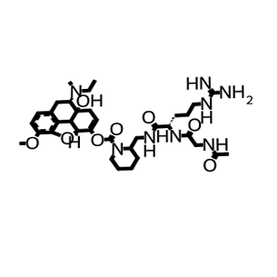 CCN(C)[C@@H]1Cc2ccc(OC)c3c2C2[C@@H](O3)C(OC(=O)N3CCCCC3CNC(=O)[C@H](CCCNC(=N)N)NC(=O)CNC(C)=O)=CC[C@]21O